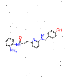 Nc1ccccc1NC(=O)/C=C/c1cccc(NCc2ccc(O)cc2)n1